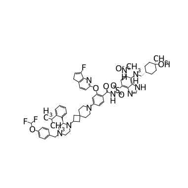 CC(C)c1ccccc1[C@@H]1CN(Cc2ccc(OC(F)F)cc2)CCN1C1CC2(CCN(c3ccc(C(=O)NS(=O)(=O)c4cc([NH+](C)[O-])c(NC[C@H]5CC[C@](C)(O)CC5)c5[nH]cnc45)c(Oc4ccc5c(n4)C(F)=CC5)c3)CC2)C1